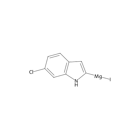 Clc1ccc2c[c]([Mg][I])[nH]c2c1